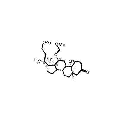 COCO[C@H]1CC2C(CC[C@H]3CC(=O)CC[C@]23C)C2CC[C@H]([C@H](C)CCC=O)[C@]21C